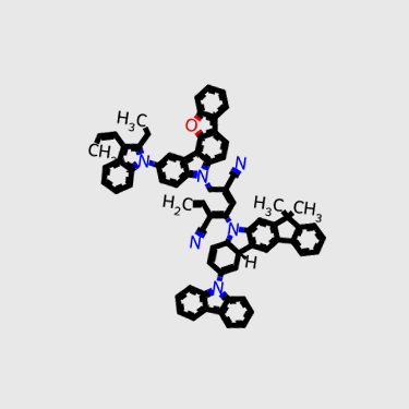 C=C/C(C#N)=C(\C=C(\C#N)Cn1c2ccc(-n3c(CC)c(/C=C\C)c4ccccc43)cc2c2c3oc4ccccc4c3ccc21)N1c2cc3c(cc2[C@@H]2C=C(n4c5ccccc5c5ccccc54)C=CC21)-c1ccccc1C3(C)C